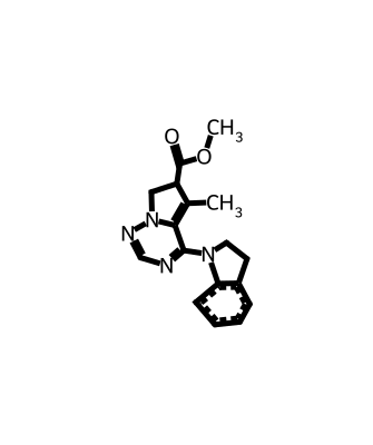 COC(=O)C1CN2N=CN=C(N3CCc4ccccc43)C2=C1C